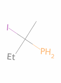 CCC(C)(P)I